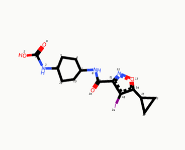 O=C(O)NC1CCC(NC(=O)c2noc(C3CC3)c2I)CC1